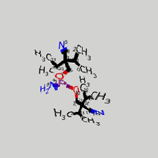 CC(C)C(C#N)(COP(N)OCC(C#N)(C(C)C)C(C)C)C(C)C